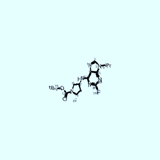 CC(C)n1cnc2c(N[C@H]3C[C@H](C)N(C(=O)OC(C)(C)C)C3)nc(F)nc21